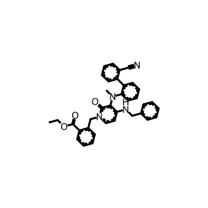 CCOC(=O)c1ccccc1Cn1ccc(NCc2ccccc2)c(N(C)c2ccccc2-c2ccccc2C#N)c1=O